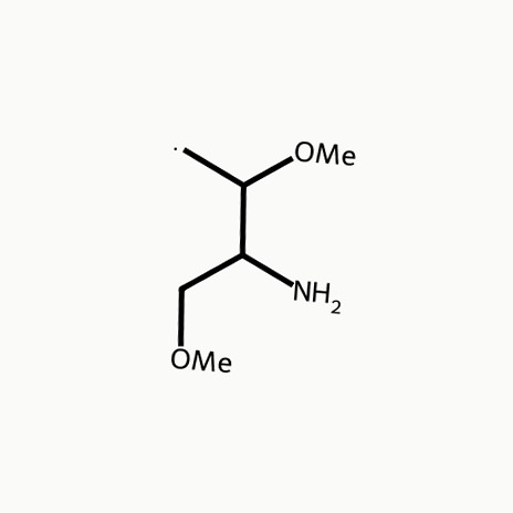 [CH2]C(OC)C(N)COC